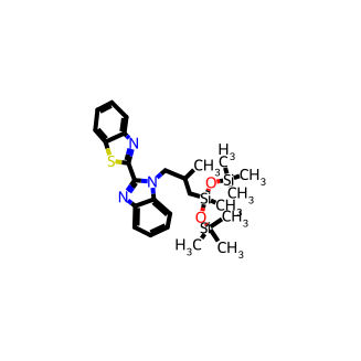 CC(Cn1c(-c2nc3ccccc3s2)nc2ccccc21)C[Si](C)(O[Si](C)(C)C)O[Si](C)(C)C